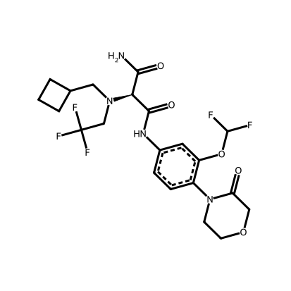 NC(=O)[C@@H](C(=O)Nc1ccc(N2CCOCC2=O)c(OC(F)F)c1)N(CC1CCC1)CC(F)(F)F